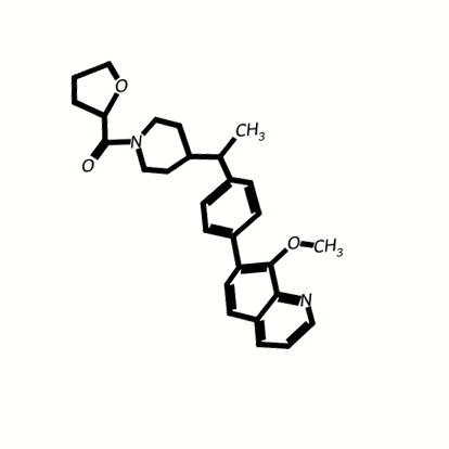 COc1c(-c2ccc(C(C)C3CCN(C(=O)C4CCCO4)CC3)cc2)ccc2cccnc12